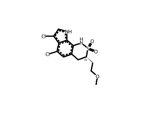 COCC[C@@H]1Cc2cc(Cl)c3c(Cl)c[nH]c3c2NS1(=O)=O